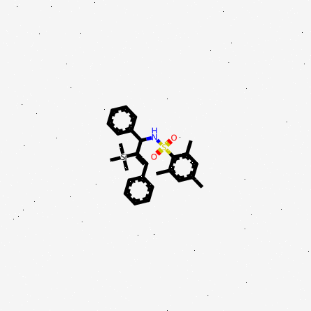 Cc1cc(C)c(S(=O)(=O)NC(/C(=C/c2ccccc2)[Si](C)(C)C)c2ccccc2)c(C)c1